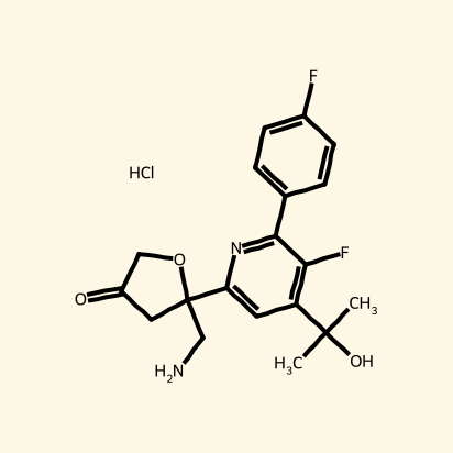 CC(C)(O)c1cc(C2(CN)CC(=O)CO2)nc(-c2ccc(F)cc2)c1F.Cl